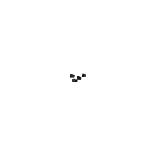 [Ca].[Co].[Fe].[Zn]